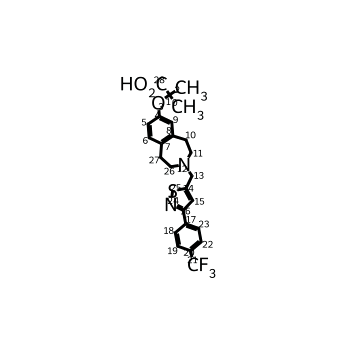 CC(C)(Oc1ccc2c(c1)CCN(Cc1cc(-c3ccc(C(F)(F)F)cc3)ns1)CC2)C(=O)O